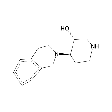 O[C@@H]1CNCC[C@H]1N1CCc2ccccc2C1